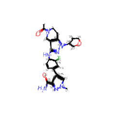 CC(=O)N1CCc2c(c(Nc3ccc(-c4cn(C)nc4C(N)=O)cc3F)nn2C2CCOC2)C1